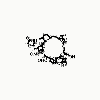 C=C1CC[C@@H]2CC[C@@H]3O[C@@H](CC[C@@](O)(CCO)O[C@@H]4C5C[C@@H](C)[C@@H]5O[C@H]5CC[C@@H](O[C@@H]54)C(C=O)CC[C@@H]4[C@@H](OC)[C@@H](C[C@H]5CNC(=O)CO5)O[C@H]4C[C@H]1O2)CC3C